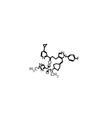 CN(C1CCC(=Cc2c(CCC(=O)c3cc(C4CC4)ccn3)cnn2-c2ccc(F)cc2)CC1)S(=O)(=O)c1cnn(C)n1